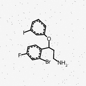 NCCC(Oc1cccc(I)c1)c1ccc(F)cc1Br